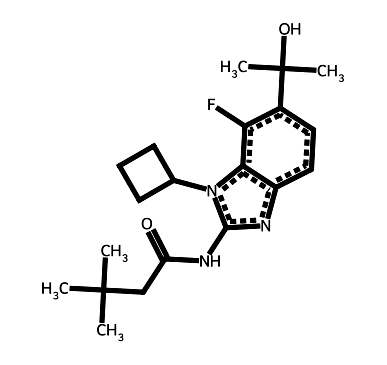 CC(C)(C)CC(=O)Nc1nc2ccc(C(C)(C)O)c(F)c2n1C1CCC1